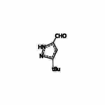 CC(C)(C)c1cc(C=O)[nH]n1